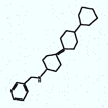 c1cncc(CNC2CCC(=C3CCC(C4CCCCC4)CC3)CC2)c1